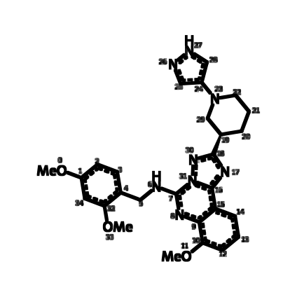 COc1ccc(CNc2nc3c(OC)cccc3c3nc([C@@H]4CCCN(c5cn[nH]c5)C4)nn23)c(OC)c1